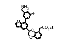 CCOC(=O)Cc1cccc2c1OC(c1cc(-c3cc(F)cc(CN)c3)c3occc3c1)CO2